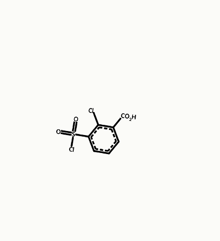 O=C(O)c1cccc(S(=O)(=O)Cl)c1Cl